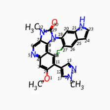 COc1cc2ncc3c(c2cc1-c1cnn(C)c1)n(-c1cc2[nH]ccc2cc1F)c(=O)n3C